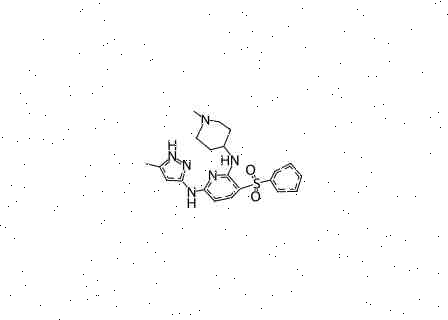 Cc1cc(Nc2ccc(S(=O)(=O)c3ccccc3)c(NC3CCN(C)CC3)n2)n[nH]1